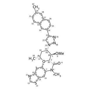 CO[C@H]1[C@H](C(=O)N(C)c2ccc3ncsc3c2)O[C@H](C)C[C@@H]1n1cc(-c2ccc3cc(C)ccc3c2)nn1